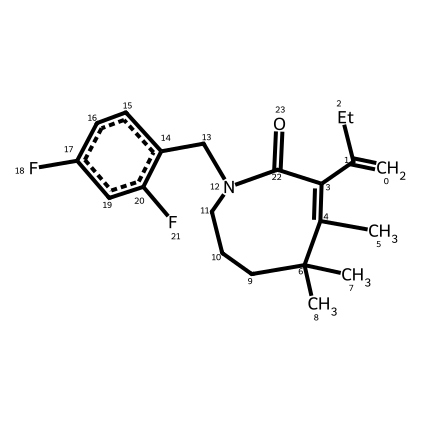 C=C(CC)/C1=C(\C)C(C)(C)CCCN(Cc2ccc(F)cc2F)C1=O